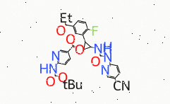 CCC(=O)c1ccc(F)c(C2CC2NC(=O)Nc2ccc(C#N)cn2)c1OC(=O)c1ccc(NC(=O)OC(C)(C)C)nc1